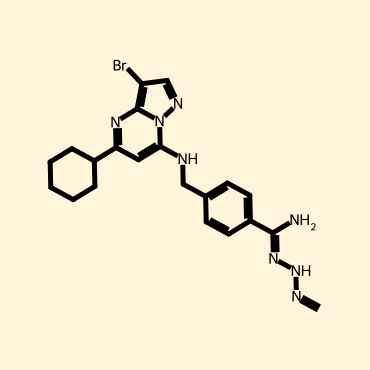 C=NN/N=C(\N)c1ccc(CNc2cc(C3CCCCC3)nc3c(Br)cnn23)cc1